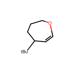 CC(C)(C)C1C=COCCC1